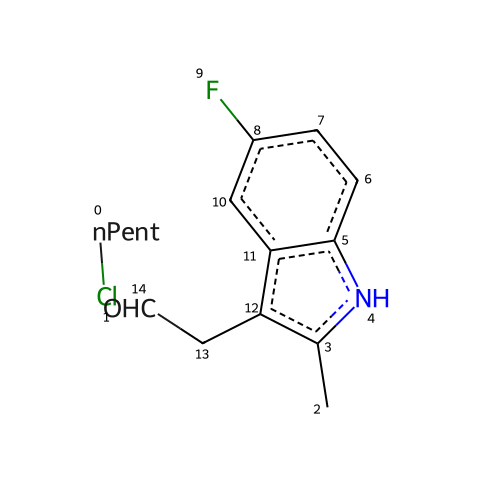 CCCCCCl.Cc1[nH]c2ccc(F)cc2c1CC=O